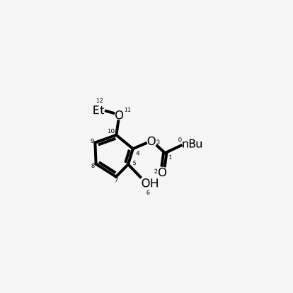 CCCCC(=O)Oc1c(O)cccc1OCC